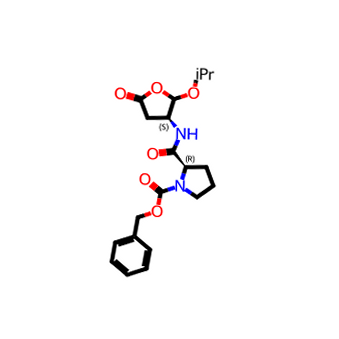 CC(C)OC1OC(=O)C[C@@H]1NC(=O)[C@H]1CCCN1C(=O)OCc1ccccc1